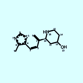 C=C(/C=C\c1scnc1C)[C@@H]1CC(O)CCN1